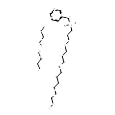 CCCCCCCCCCCCCCCC[N+](C)(C)Cc1ccccc1.CCCCOCCCC